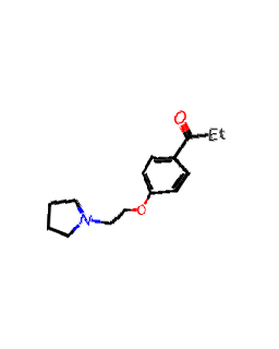 CCC(=O)c1ccc(OCCN2CCCC2)cc1